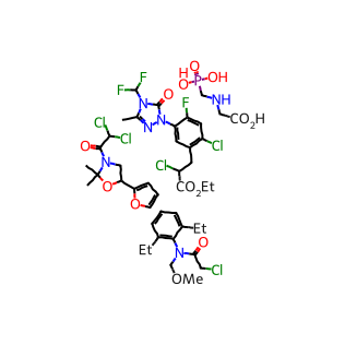 CC1(C)OC(c2ccco2)CN1C(=O)C(Cl)Cl.CCOC(=O)C(Cl)Cc1cc(-n2nc(C)n(C(F)F)c2=O)c(F)cc1Cl.CCc1cccc(CC)c1N(COC)C(=O)CCl.O=C(O)CNCP(=O)(O)O